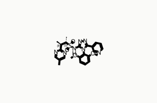 COc1cccc(OC)c1-n1c(NS(=O)(=O)[C@@H](C)[C@H](C)c2ncc(C)cn2)nnc1-c1cccnc1